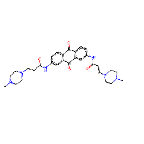 CN1CCN(CCC(=O)Nc2ccc3c(c2)C(=O)c2cc(NC(=O)CCN4CCN(C)CC4)ccc2C3=O)CC1